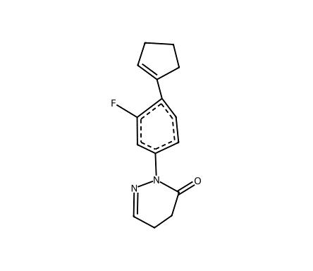 O=C1CCC=NN1c1ccc(C2=CCCC2)c(F)c1